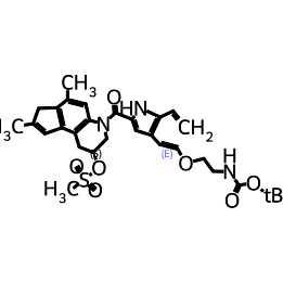 C=Cc1[nH]c(C(=O)N2C[C@@H](OS(C)(=O)=O)Cc3c2cc(C)c2c3C=C(C)C2)cc1/C=C/OCCNC(=O)OC(C)(C)C